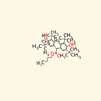 CCCCOC(=O)C(c1cc(C(C)(C)C)c(O)c(C(C)(C)C)c1)c1cc(C(C)(C)C)c(O)c(C(C)(C)C)c1